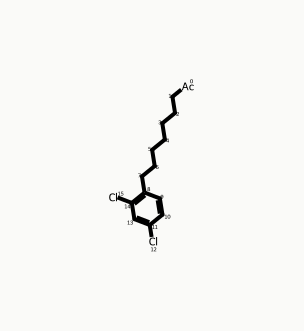 CC(=O)CCCCCCCc1ccc(Cl)cc1Cl